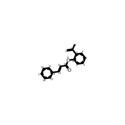 C=C(C)c1ccccc1OC(=O)/C=C/c1ccccc1